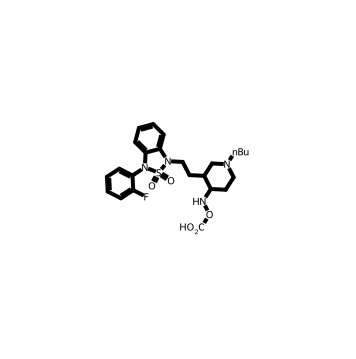 CCCCN1CCC(NOC(=O)O)C(CCN2c3ccccc3N(c3ccccc3F)S2(=O)=O)C1